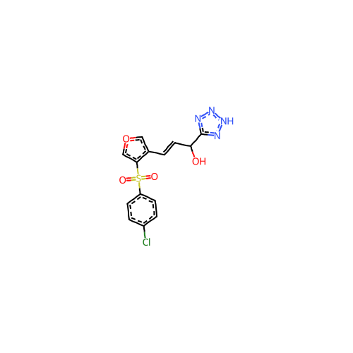 O=S(=O)(c1ccc(Cl)cc1)c1cocc1C=CC(O)c1nn[nH]n1